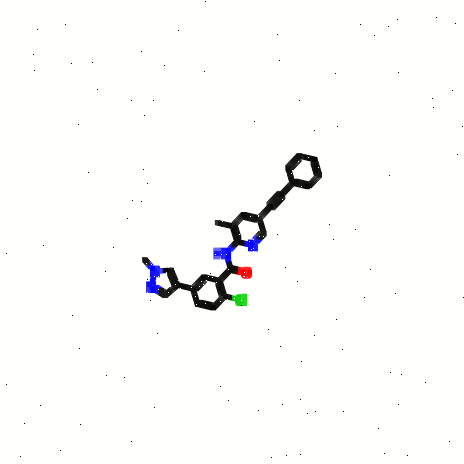 Cc1cc(C#Cc2ccccc2)cnc1NC(=O)c1cc(-c2cnn(C)c2)ccc1Cl